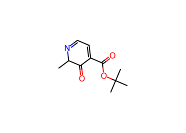 CC1N=CC=C(C(=O)OC(C)(C)C)C1=O